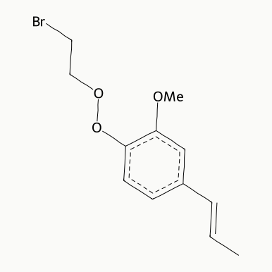 CC=Cc1ccc(OOCCBr)c(OC)c1